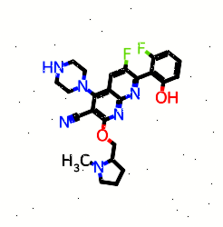 CN1CCCC1COc1nc2nc(-c3c(O)cccc3F)c(F)cc2c(N2CCNCC2)c1C#N